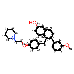 COc1cccc(-c2ccc3cc(O)ccc3c2Cc2ccc(OCCN3CCCCC3)cc2)c1